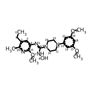 CCc1cc(N=C(NO)N2CCN(c3cc(OC)cc(OC)c3)CC2)c(OC)nc1C